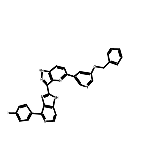 Fc1ccc(-c2nccc3[nH]c(-c4n[nH]c5ccc(-c6cncc(OCc7ccccc7)c6)nc45)nc23)cc1